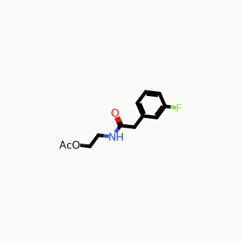 CC(=O)OCCNC(=O)Cc1cccc(F)c1